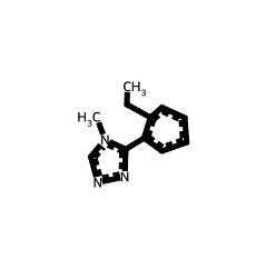 CCc1ccccc1-c1nncn1C